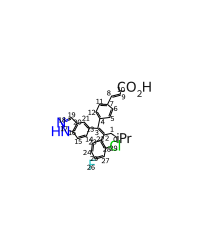 CC(C)CC(=C(c1ccc(C=CC(=O)O)cc1)c1ccc2[nH]ncc2c1)c1ccc(F)cc1Cl